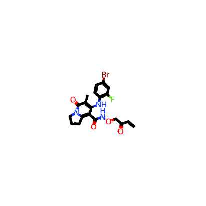 C=CC(=O)CONC(=O)c1c(Nc2ccc(Br)cc2F)c(C)c(=O)n2c1CCC2